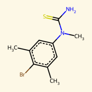 Cc1cc(N(C)C(N)=S)cc(C)c1Br